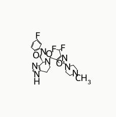 CN1CCN(c2nc(C(F)F)c(C(=O)N3CCc4[nH]cnc4[C@H]3c3nc4cc(F)ccc4o3)o2)CC1